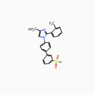 CS(=O)(=O)c1cccc(-c2ccc(-n3cc(C(=O)O)nc3-c3ccccc3C(F)(F)F)cc2)c1